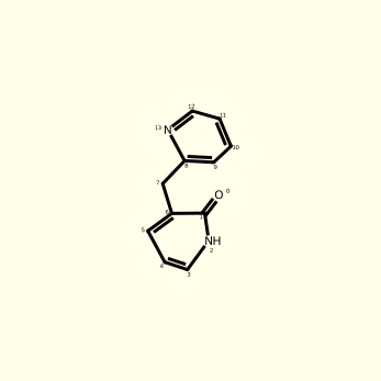 O=c1[nH]cccc1Cc1ccccn1